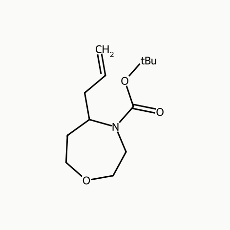 C=CCC1CCOCCN1C(=O)OC(C)(C)C